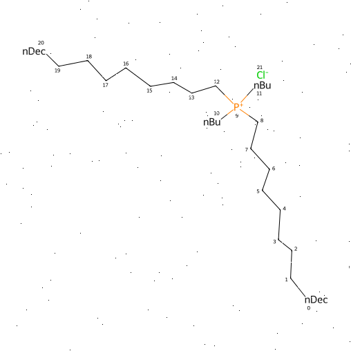 CCCCCCCCCCCCCCCCCC[P+](CCCC)(CCCC)CCCCCCCCCCCCCCCCCC.[Cl-]